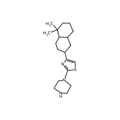 CC1(C)CCCC2CC(c3csc(N4CCNCC4)n3)CCC21